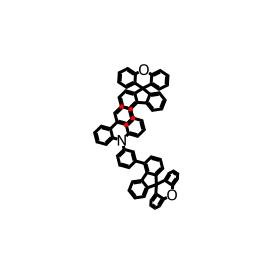 c1ccc(-c2ccccc2N(c2cccc(-c3cccc4c3-c3ccccc3C43c4ccccc4Oc4ccccc43)c2)c2cccc(-c3cccc4c3-c3ccccc3C43c4ccccc4Oc4ccccc43)c2)cc1